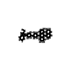 CCc1nc2ccccc2n1-c1ccc(-c2ccc(-c3c4ccccc4c(-c4cccc5ccccc45)c4ccccc34)cc2)cc1